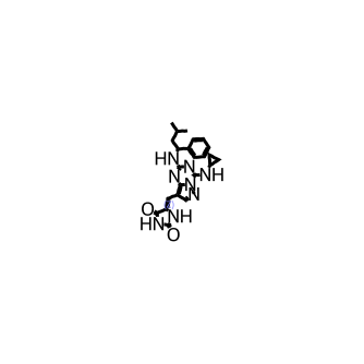 CC(C)CC(Nc1nc(NC2CC2)n2ncc(/C=C3\NC(=O)NC3=O)c2n1)c1ccccc1